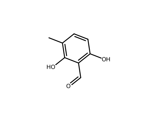 Cc1ccc(O)c(C=O)c1O